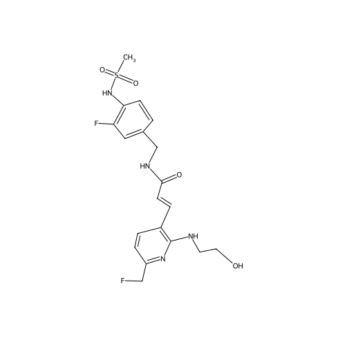 CS(=O)(=O)Nc1ccc(CNC(=O)/C=C/c2ccc(CF)nc2NCCO)cc1F